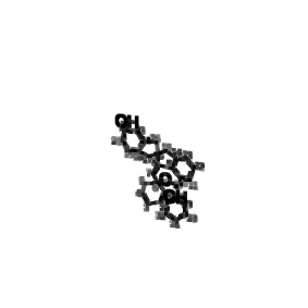 OC1=CC=CCC1(C=C1c2ccccc2CC12Cc1ccc(O)cc1C2)OCc1ccccc1